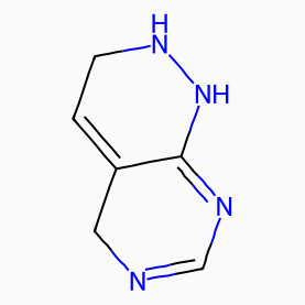 C1=NCC2=CCNNC2=N1